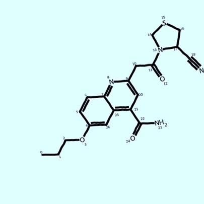 CCCOc1ccc2nc(CC(=O)N3CSCC3C#N)cc(C(N)=O)c2c1